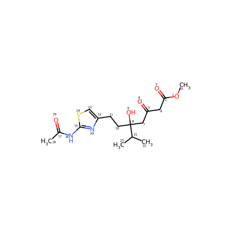 COC(=O)CC(=O)CC(O)(CCc1csc(NC(C)=O)n1)C(C)C